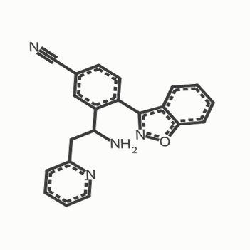 N#Cc1ccc(-c2noc3ccccc23)c(C(N)Cc2ccccn2)c1